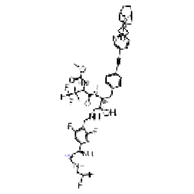 COC(=O)NC(C(=O)N[C@@H](Cc1ccc(C#Cc2ccc(N3CC4CCC(C3)N4C3COC3)nc2)cc1)[C@@H](O)CNCc1c(F)cc(C(=N)/C=C\NCC(F)F)cc1F)C(C)(C)C(F)(F)F